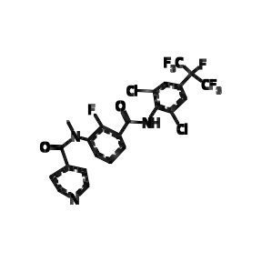 CN(C(=O)c1ccncc1)c1cccc(C(=O)Nc2c(Cl)cc(C(F)(C(F)(F)F)C(F)(F)F)cc2Cl)c1F